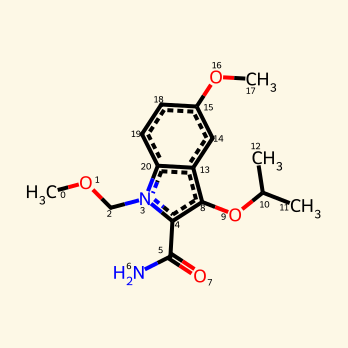 COCn1c(C(N)=O)c(OC(C)C)c2cc(OC)ccc21